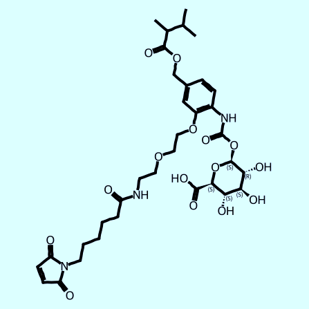 CC(C)C(C)C(=O)OCc1ccc(NC(=O)O[C@@H]2O[C@H](C(=O)O)[C@@H](O)[C@H](O)[C@H]2O)c(OCCOCCNC(=O)CCCCCN2C(=O)C=CC2=O)c1